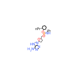 CCCc1ccccc1OP(NC(C)C)OCC1CCC(N2CNc3c(N)ncnc32)O1